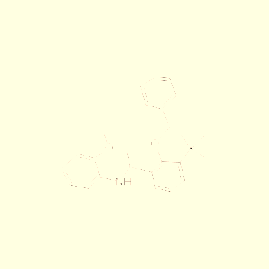 COc1ccccc1NC(C)c1cccc(C(C)(C)C)c1OCc1ccccc1